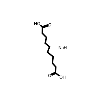 O=C(O)CCCCCCCCC(=O)O.[NaH]